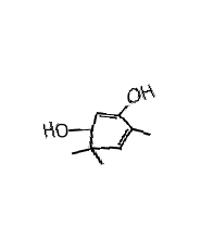 CC1=CC(C)(C)C(O)C=C1O